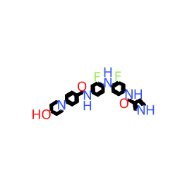 O=C(Nc1ccc(Nc2ccc(NC(=O)c3cc[nH]c3)cc2F)c(F)c1)c1ccc(N2CCC(O)CC2)cc1